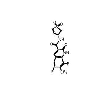 O=C(N[C@@H]1C=CS(=O)(=O)C1)c1cc2cc(F)c(C(F)(F)F)c(F)c2[nH]c1=O